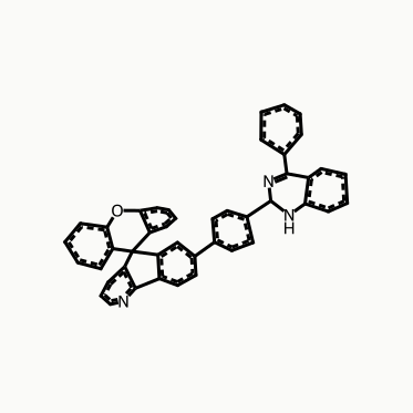 c1ccc(C2=NC(c3ccc(-c4ccc5c(c4)C4(c6ccccc6Oc6ccccc64)c4cccnc4-5)cc3)Nc3ccccc32)cc1